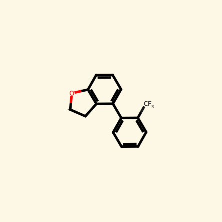 FC(F)(F)c1ccccc1-c1cccc2c1C[CH]O2